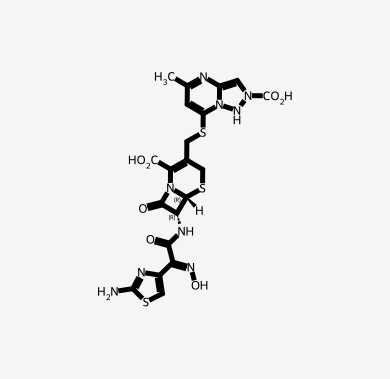 CC1=NC2=CN(C(=O)O)NN2C(SCC2=C(C(=O)O)N3C(=O)[C@@H](NC(=O)C(=NO)c4csc(N)n4)[C@H]3SC2)=C1